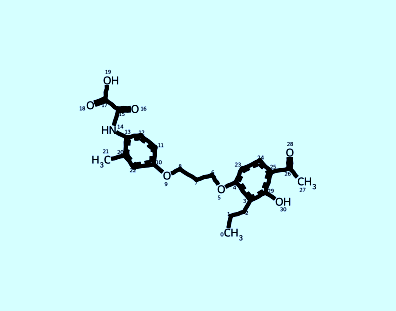 CCCc1c(OCCCOc2ccc(NC(=O)C(=O)O)c(C)c2)ccc(C(C)=O)c1O